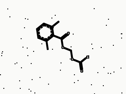 Cc1cccc(C)c1C(=O)OCOC(=O)Cl